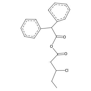 CCC(Cl)[CH]C(=O)OC(=O)C(c1ccccc1)c1ccccc1